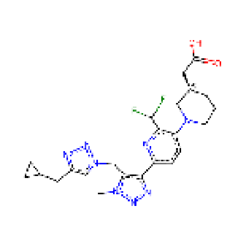 Cn1nnc(-c2ccc(N3CCC[C@H](CC(=O)O)C3)c(C(F)F)n2)c1Cn1cc(CC2CC2)nn1